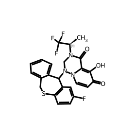 C[C@@H](N1CN(C2c3ccccc3CSc3ccc(F)cc32)n2ccc(=O)c(O)c2C1=O)C(F)(F)F